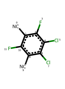 N#Cc1c(F)c(Cl)c(Cl)c(C#N)c1F